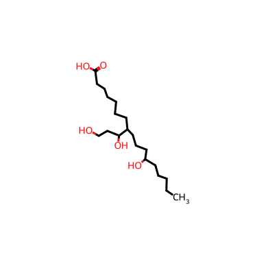 CCCCCC(O)CCCC(CCCCCCC(=O)O)C(O)CCO